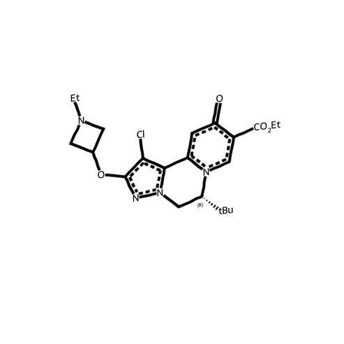 CCOC(=O)c1cn2c(cc1=O)-c1c(Cl)c(OC3CN(CC)C3)nn1C[C@H]2C(C)(C)C